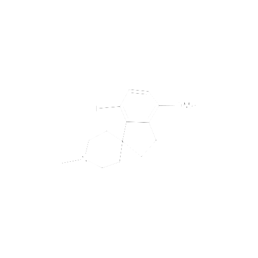 COc1ccc(I)c2c1CCC21CCN(C)CC1